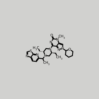 CC[C@H]1CN(C(C)c2ccc3ncsc3n2)[C@H](CC)CN1c1nc(=O)n(C)c2cn(C3CCCCO3)nc12